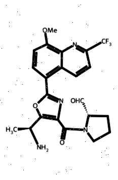 COc1ccc(-c2nc(C(=O)N3CCC[C@H]3C=O)c([C@H](C)N)o2)c2ccc(C(F)(F)F)nc12